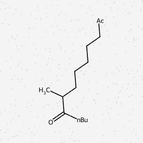 CCCCC(=O)C(C)CCCCCC(C)=O